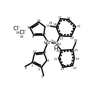 CC1=C(C)C[C]([Zr+2]([C]2=CC=CC2)[SiH](c2ccccc2C)c2ccccc2C)=C1.[Cl-].[Cl-]